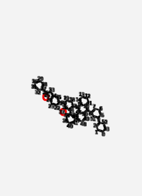 c1ccc(-c2cccc(-c3c4ccccc4c(-c4ccc(-c5ccc6oc(-c7ccccc7)cc6c5)c5oc6ccccc6c45)c4ccccc34)c2)cc1